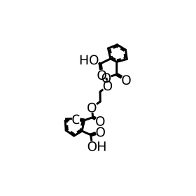 O=C(O)c1ccccc1C(=O)OCCOOC(=O)c1ccccc1C(=O)O